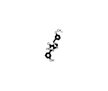 COc1cccc(Cn2cnc3nc(-c4cccc(O)c4)[nH]c(=O)c32)c1